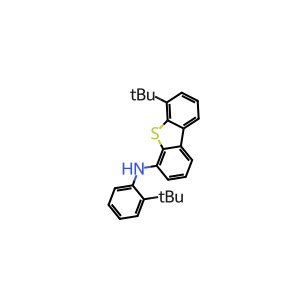 CC(C)(C)c1ccccc1Nc1cccc2c1sc1c(C(C)(C)C)cccc12